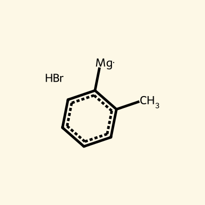 Br.Cc1cccc[c]1[Mg]